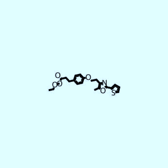 CCOOC(=O)CCc1ccc(OCCc2nc(-c3cccs3)oc2C)cc1